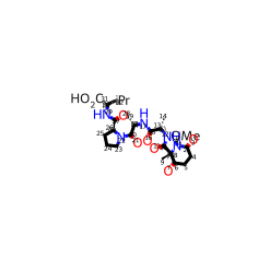 CON1C(=O)CCC(=O)[C@]1(C)C(=O)N[C@@H](C)C(=O)N[C@@H](C)C(=O)N1CCC[C@H]1C(=O)N[C@H](C(=O)O)C(C)C